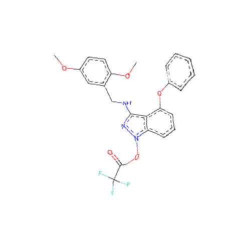 COc1ccc(OC)c(CNc2nn(OC(=O)C(F)(F)F)c3cccc(Oc4ccccc4)c23)c1